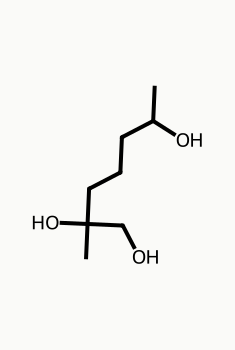 CC(O)CCCC(C)(O)CO